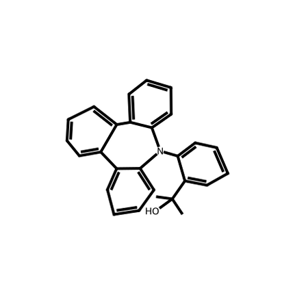 CC(C)(O)c1ccccc1N1c2ccccc2-c2ccccc2-c2ccccc21